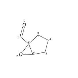 O=CC12CCCC1O2